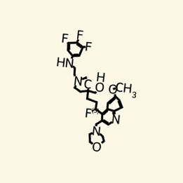 COc1ccc2ncc(CN3CCOCC3)c([C@@H](F)CCC3(CO)CCN(CCNc4cc(F)c(F)c(F)c4)CC3)c2c1